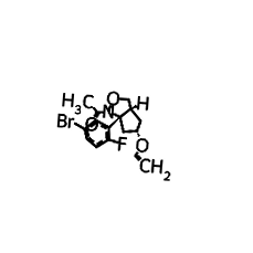 C=CO[C@H]1C[C@H]2CON(C(C)=O)[C@@]2(c2cc(Br)ccc2F)C1